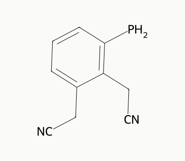 N#CCc1cccc(P)c1CC#N